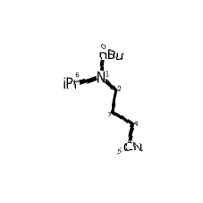 CCCCN(CCCC#N)C(C)C